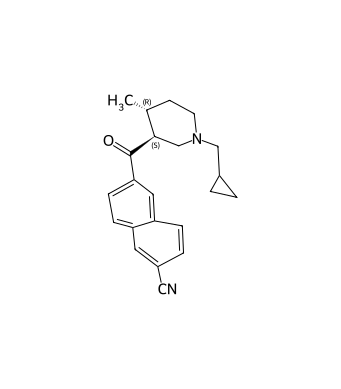 C[C@@H]1CCN(CC2CC2)C[C@H]1C(=O)c1ccc2cc(C#N)ccc2c1